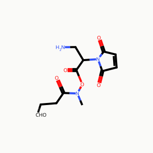 CN(OC(=O)C(CN)N1C(=O)C=CC1=O)C(=O)CCC=O